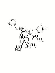 COc1cc(C(C)(C)C)c(O)c(NC(=O)NCc2cccnc2)c1CC1CCNCC1.Cl.Cl